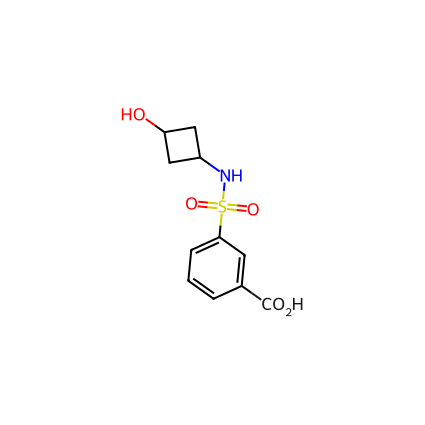 O=C(O)c1cccc(S(=O)(=O)NC2CC(O)C2)c1